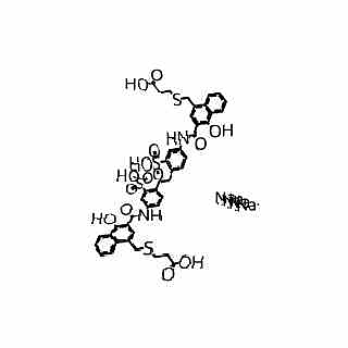 O=C(O)CCSCc1cc(C(=O)Nc2ccc(C=Cc3ccc(NC(=O)c4cc(CSCCC(=O)O)c5ccccc5c4O)cc3S(=O)(=O)O)c(S(=O)(=O)O)c2)c(O)c2ccccc12.[Na].[Na].[Na].[Na]